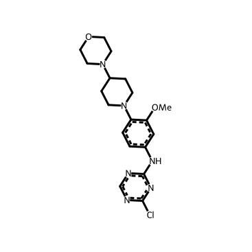 COc1cc(Nc2ncnc(Cl)n2)ccc1N1CCC(N2CCOCC2)CC1